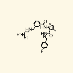 CCN(CC)CCNCc1cccc(C(=O)Nc2scc(C)c2C(=O)N/N=C/c2ccc(F)cc2)c1